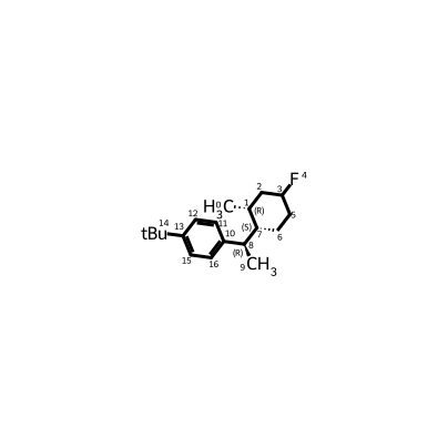 C[C@@H]1CC(F)CC[C@@H]1[C@@H](C)c1ccc(C(C)(C)C)cc1